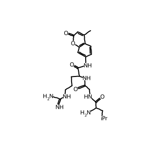 Cc1cc(=O)oc2cc(NC(=O)C(CCCNC(=N)N)NC(=O)CNC(=O)C(N)CC(C)C)ccc12